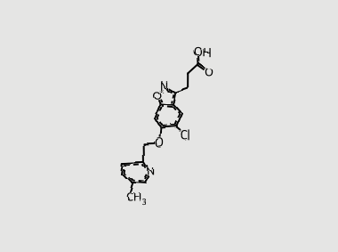 Cc1ccc(COc2cc3onc(CCC(=O)O)c3cc2Cl)nc1